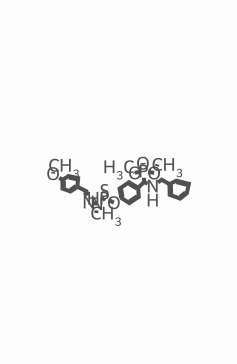 COc1ccc(/C=N/N(C)[PH](=S)Oc2ccc(C(NCc3ccccc3)P(=O)(OC)OC)cc2)cc1